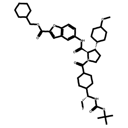 COC1CCC([C@@H]2CCN(C(=O)C3CCC([C@@H](CF)NC(=O)OC(C)(C)C)CC3)[C@H]2C(=O)Nc2ccc3oc(C(=O)OCC4CCCCC4)cc3c2)CC1